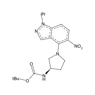 CC(C)n1ncc2c(N3CC[C@@H](NC(=O)OC(C)(C)C)C3)c([N+](=O)[O-])ccc21